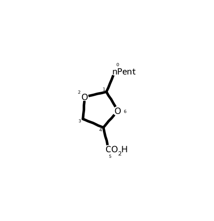 CCCCCC1OCC(C(=O)O)O1